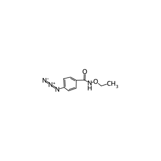 CCONC(=O)c1ccc(N=[N+]=[N-])cc1